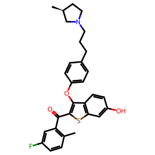 Cc1ccc(F)cc1C(=O)c1sc2cc(O)ccc2c1Oc1ccc(CCCN2CC[C@H](C)C2)cc1